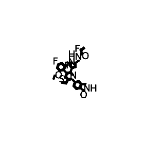 C=C(F)C(=O)NCc1cc(-c2nc(-c3ccc4c(c3)CNC4=O)c3ccsc3c2-c2c(F)cc(F)cc2OCC)n[nH]1